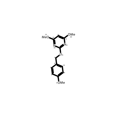 COc1ccc(COc2nc(OC)cc(OC)n2)cc1